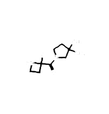 CC1(C)CCN(C(=O)C2(F)CCN2)C1